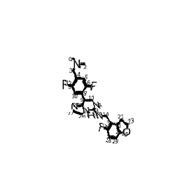 CN(C)Cc1cc(F)c(-c2cnc(NCc3c(F)ccc4c3CCO4)n3ccnc23)cc1F